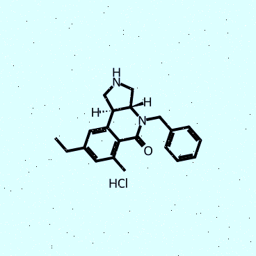 CCc1cc(C)c2c(c1)[C@H]1CNC[C@@H]1N(Cc1ccccc1)C2=O.Cl